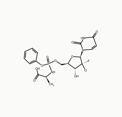 C[C@H](NP(=O)(OC[C@H]1O[C@@H](n2ccc(=O)[nH]c2=O)[C@@](F)(Cl)[C@@H]1O)Oc1ccccc1)C(=O)O